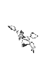 CCn1ncc2c(NC3CCOCC3)c(-c3nc(COc4ccccc4)no3)cnc21